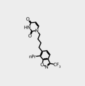 CCCc1c(CCCCn2ccc(=O)[nH]c2=O)ccc2c(C(F)(F)F)noc12